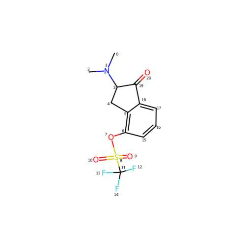 CN(C)C1Cc2c(OS(=O)(=O)C(F)(F)F)cccc2C1=O